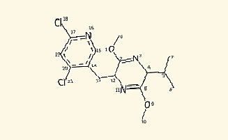 COC1=NC(C(C)C)C(OC)=NC1Cc1cnc(Cl)cc1Cl